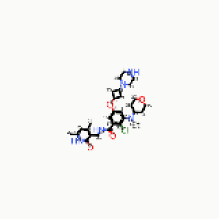 CCN(c1cc(OC2CC(N3CCNCC3)C2)cc(C(=O)NCc2c(C)cc(C)[nH]c2=O)c1Cl)C1CCOCC1